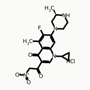 Cc1c(F)c(N2CCN[C@H](C)C2)cc2c1c(=O)c(C(=O)C[N+](=O)[O-])cn2C1CC1.Cl